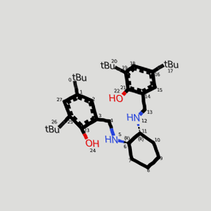 CC(C)(C)c1cc(CN[C@@H]2CCCC[C@H]2NCc2cc(C(C)(C)C)cc(C(C)(C)C)c2O)c(O)c(C(C)(C)C)c1